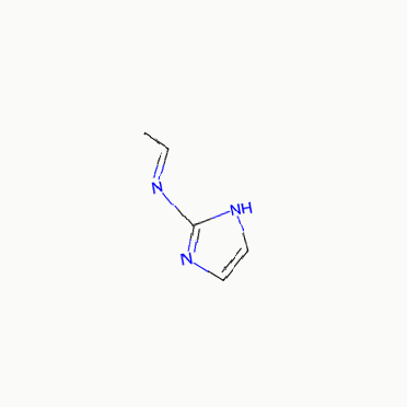 CC=Nc1ncc[nH]1